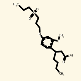 CCCCC(CC(=O)O)c1ccc(OCCCS(=O)(=O)CCC)cc1OC